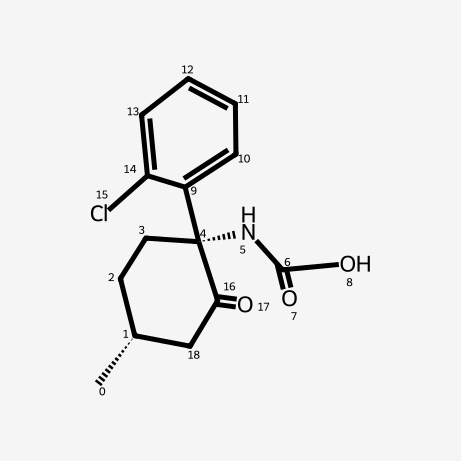 C[C@@H]1CC[C@@](NC(=O)O)(c2ccccc2Cl)C(=O)C1